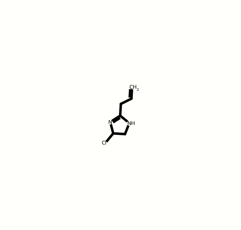 C=CCC1=NC(Cl)CN1